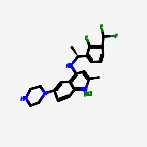 Cc1cc(N[C@H](C)c2cccc(C(F)F)c2F)c2cc(N3CCNCC3)ccc2n1.Cl